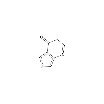 O=C1CC=Nc2cocc21